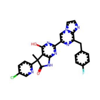 CC1(c2ccc(Cl)cn2)C(=O)Nc2nc(-c3cn4ccnc4c(Cc4ccc(F)cc4)n3)nc(O)c21